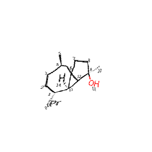 CC(C)[C@@H]1CC[C@@H](C)C23CC[C@@](C)(O)C2[C@@H]13